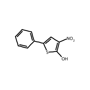 O=[N+]([O-])c1cc(-c2ccccc2)sc1O